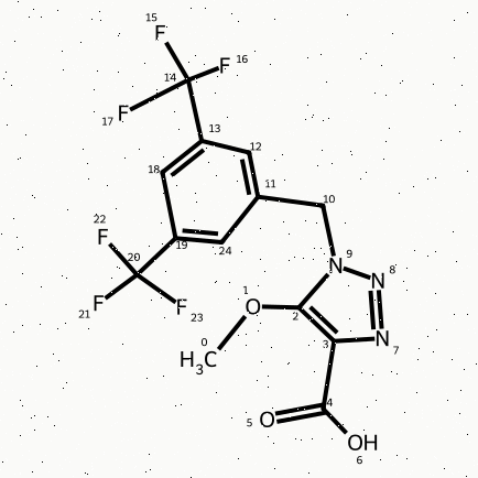 COc1c(C(=O)O)nnn1Cc1cc(C(F)(F)F)cc(C(F)(F)F)c1